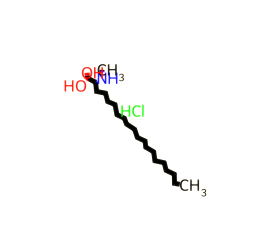 CCCCCCCCCCCCCCCCCCC(NC)C(O)O.Cl